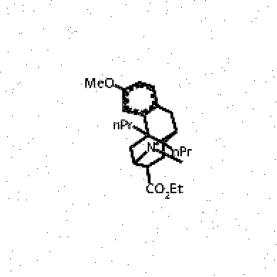 CCCC12CC3C(C(=O)OCC)CC1(CCC)C(Cc1ccc(OC)cc12)N3C